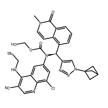 Cn1ccc2c([C@@H](c3cn(C45CC(C4)C5)nn3)N(C(=O)OCO)c3cc(Cl)c4ncc(C#N)c(NCC(C)(C)C)c4c3)cccc2c1=O